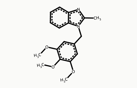 COc1cc(Cn2c(C)nc3ccccc32)cc(OC)c1OC